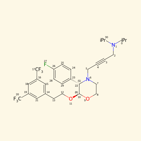 CC(C)N(CC#CCN1CCO[C@@H](OCCc2cc(C(F)(F)F)cc(C(F)(F)F)c2)[C@@H]1c1ccc(F)cc1)C(C)C